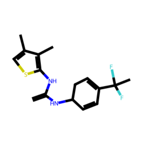 C=C(Nc1scc(C)c1C)NC1C=CC(C(C)(F)F)=CC1